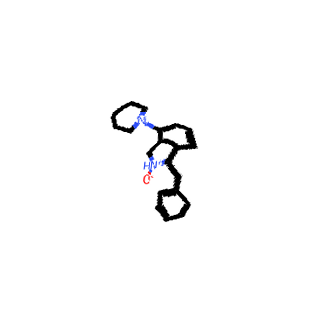 [O-][NH+]1Cc2c(cccc2N2CCCCC2)C1Cc1ccccc1